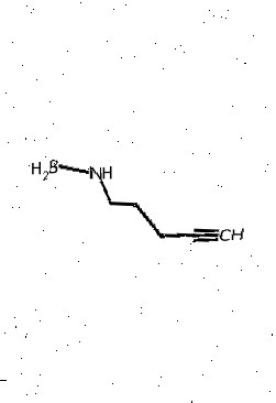 BNCCCC#C